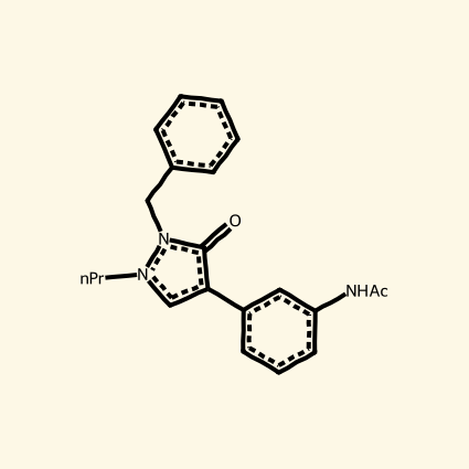 CCCn1cc(-c2cccc(NC(C)=O)c2)c(=O)n1Cc1ccccc1